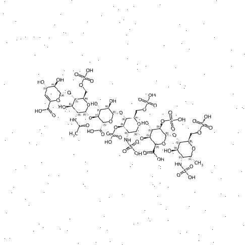 CC(=O)N[C@H]1[C@@H](O[C@H]2[C@H](O)[C@@H](O)[C@H](O[C@H]3[C@H](OS(=O)(=O)O)[C@@H](NS(=O)(=O)O)[C@@H](O[C@H]4[C@H](O)[C@@H](OS(=O)(=O)O)[C@H](O[C@H]5[C@H](O)[C@@H](NS(=O)(=O)O)[C@@H](C)O[C@@H]5COS(=O)(=O)O)O[C@H]4C(=O)O)O[C@@H]3COS(=O)(=O)O)O[C@@H]2C(=O)O)O[C@H](COS(=O)(=O)O)[C@@H](O[C@@H]2OC(C(=O)O)=C[C@H](O)[C@H]2O)[C@@H]1O